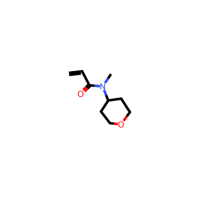 C=CC(=O)N(C)C1CCOCC1